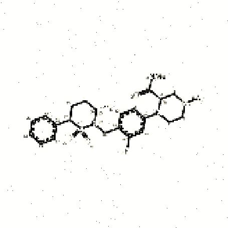 CNC(=O)[C@H]1CN(C(C)=O)CCN1c1ccc(CN2[C@@H](C)CCC(c3ccccc3)S2(=O)=O)c(F)c1